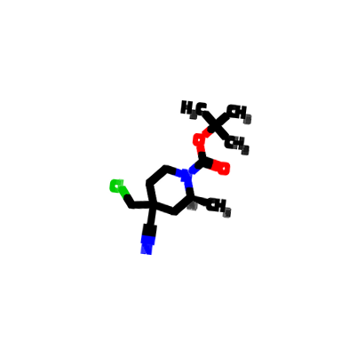 C[C@H]1CC(C#N)(CCl)CCN1C(=O)OC(C)(C)C